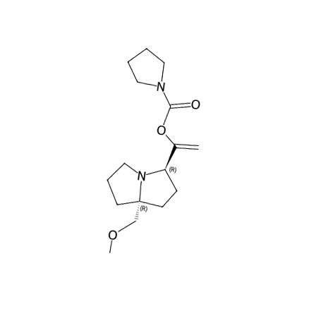 C=C(OC(=O)N1CCCC1)[C@H]1CC[C@@]2(COC)CCCN12